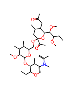 C=C(C)N(C)C1=COC(CC)C(OC2OC(COC3(C(C)=O)CC(C)C(CC(C)=O)C(C(OC)C(CC)OC)O3)C(C)C(C)C2OC)C1C